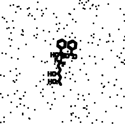 CC(O)CC(O)CCC(F)(F)F.O=C(O)c1ccccc1.O=C(O)c1ccccc1